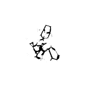 COC(=O)c1cc(OC)c2nc(N3[C@@H]4CC[C@H]3C[C@H](OC(=O)c3c(-c5c(Cl)cccc5Cl)noc3C3CC3)C4)sc2c1